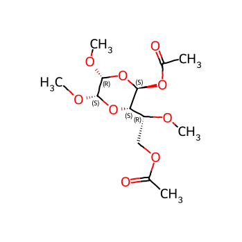 CO[C@@H]1O[C@@H](OC(C)=O)[C@H]([C@@H](COC(C)=O)OC)O[C@@H]1OC